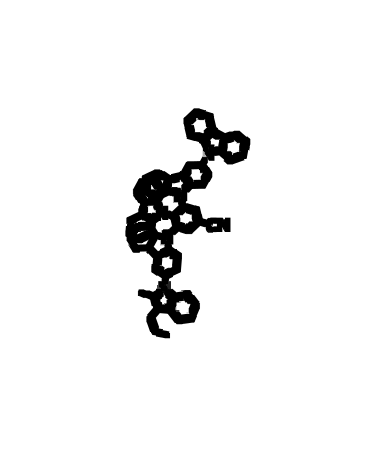 C/C=C\c1c(C)n(-c2ccc3c(c2)C2CCC=CC2N3c2cc(C#N)cc(-n3c4ccccc4c4cc(-n5c6ccccc6c6ccccc65)ccc43)c2-n2c3c(c4ccccc42)CCC=C3)c2ccccc12